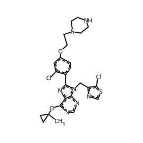 CC1(Oc2ncnc3c2nc(-c2ccc(OCCN4CCNCC4)cc2Cl)n3Cc2ncsc2Cl)CC1